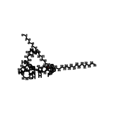 CCCCCCCCCCCCCCCCOP(=O)(OCCCCCCCCCCCCCCCC)C(F)(F)c1ccc2cc(C(=O)N[C@H]3CCCC[C@H]4CC[C@@H](C(=O)NCCc5cn[nH]c5)N4C3=O)[nH]c2c1